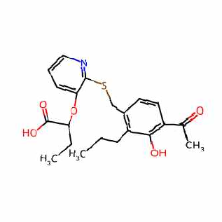 CCCc1c(CSc2ncccc2OC(CC)C(=O)O)ccc(C(C)=O)c1O